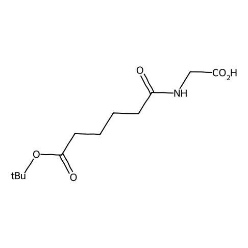 CC(C)(C)OC(=O)CCCCC(=O)NCC(=O)O